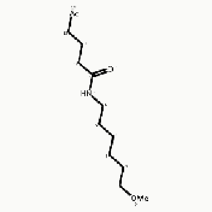 COCCCCCCNC(=O)CCCC(C)=O